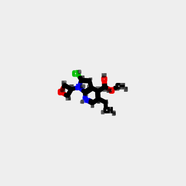 CCc1cnc2c(cc(Cl)n2C2COC2)c1C(=O)OC